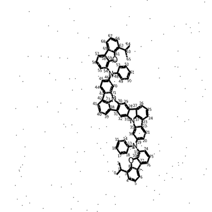 CC(C)c1cccc2c1oc1c(N(c3ccccc3)c3ccc4c5cccc6c7cc8c(cc7n(c4c3)c56)c3cccc4c5ccc(N(c6ccccc6)c6cccc7c6oc6c(C(C)C)cccc67)cc5n8c43)cccc12